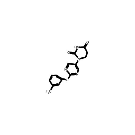 O=C1CCN(c2cnc(Oc3cccc(C(F)(F)F)c3)nc2)C(=O)N1